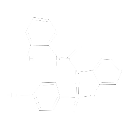 Cc1ccc(S(=O)(=O)Oc2ccccc2NC(=O)Nc2ccccc2C)cc1